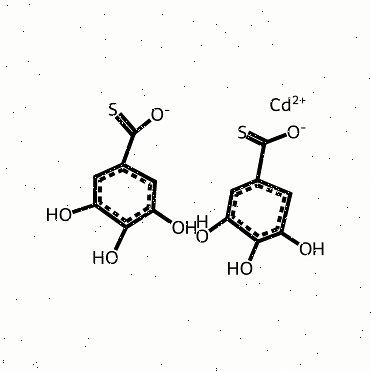 [Cd+2].[O-]C(=S)c1cc(O)c(O)c(O)c1.[O-]C(=S)c1cc(O)c(O)c(O)c1